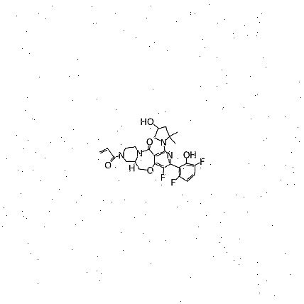 C=CC(=O)N1CCN2C(=O)c3c(N4CC(O)CC4(C)C)nc(-c4c(F)ccc(F)c4O)c(F)c3OC[C@H]2C1